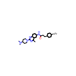 CCCc1ccc(CCC(=O)Nc2ccc3nc(N4CCC(N(C)C)CC4)nc(C)c3c2)cc1